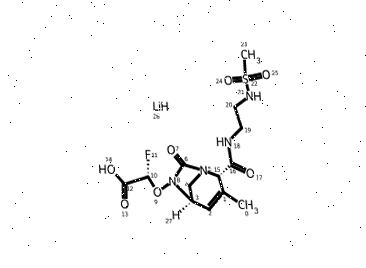 CC1=C[C@@H]2CN(C(=O)N2O[C@@H](F)C(=O)O)[C@@H]1C(=O)NCCNS(C)(=O)=O.[LiH]